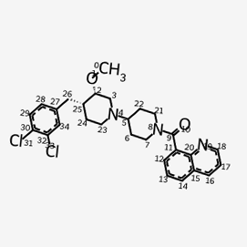 CO[C@@H]1CN(C2CCN(C(=O)c3cccc4cccnc34)CC2)CC[C@@H]1Cc1ccc(Cl)c(Cl)c1